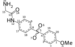 COc1ccc(S(=O)(=O)c2ccc(NC(=O)CN)cc2)cc1